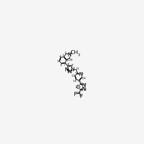 CN1Cc2cccc(-c3cn(Cc4ccc(-c5nnc(C(F)F)o5)cn4)nn3)c2C1